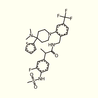 CC(C(=O)NCc1ccc(C(F)(F)F)cc1N1CCC(c2cccs2)(N(C)C)CC1)c1ccc(NS(C)(=O)=O)c(F)c1